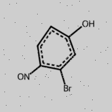 O=Nc1ccc(O)cc1Br